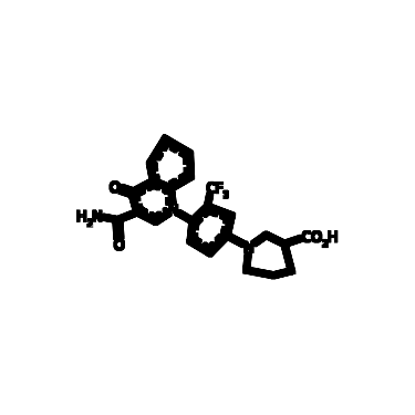 NC(=O)c1cn(-c2ccc(N3CCCC(C(=O)O)C3)cc2C(F)(F)F)c2ccccc2c1=O